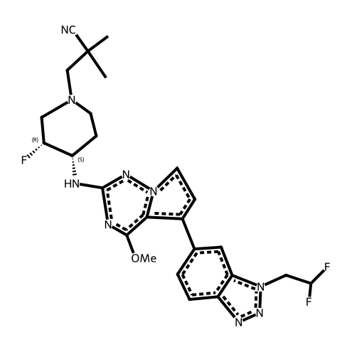 COc1nc(N[C@H]2CCN(CC(C)(C)C#N)C[C@H]2F)nn2ccc(-c3ccc4nnn(CC(F)F)c4c3)c12